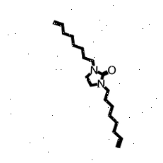 C=CCCCCCCN1CCN(CCCCCCC=C)C1=O